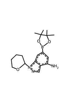 CC1(C)OB(c2cc(N)c3cnn(C4CCCCO4)c3c2)OC1(C)C